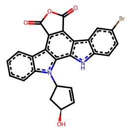 O=C1OC(=O)c2c1c1c3cc(Br)ccc3[nH]c1c1c2c2ccccc2n1C1C=C[C@@H](O)C1